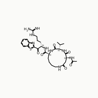 CC(=O)N[C@H]1CC(=O)NCCCC[C@@H](C(=O)N[C@@H](CCCNC(=N)N)C(=O)c2nc3ccccc3s2)NC(=O)[C@H](C(C)C)NC1=O